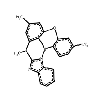 Cc1ccc2c(c1)Oc1cc(C)cc3c1B2n1c(nc2ccccc21)N3C